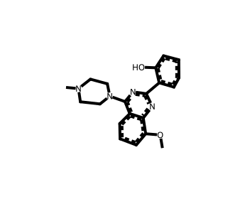 COc1cccc2c(N3CCN(C)CC3)nc(-c3ccccc3O)nc12